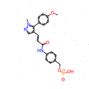 COc1ccc(-c2c(C=CC(=O)Nc3ccc(CO[PH](=O)O)cc3)cnn2C)cc1